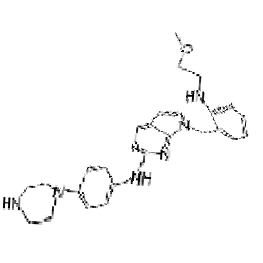 COCCNc1ccccc1Cn1ccc2cnc(Nc3ccc(N4CCNCC4)cc3)nc21